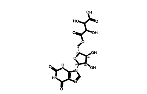 O=C(O)C(O)C(O)C(=O)OC[C@H]1O[C@@H](n2cnc3c(=O)[nH]c(=O)[nH]c32)[C@H](O)[C@@H]1O